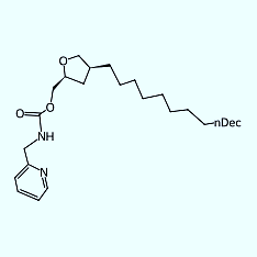 CCCCCCCCCCCCCCCCCC[C@@H]1CO[C@H](COC(=O)NCc2ccccn2)C1